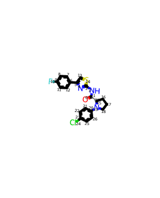 O=C(Nc1nc(-c2ccc(F)cc2)cs1)[C@@H]1CCCN1c1ccc(Cl)cc1